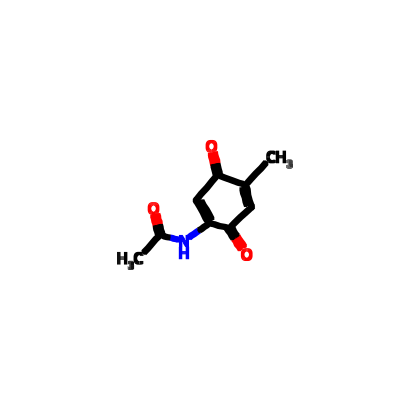 CC(=O)NC1=CC(=O)C(C)=CC1=O